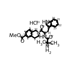 COC(=O)c1ccc2c(c1)CCN(C(=O)[C@@H](Cc1c[nH]c3ccccc13)NC(=O)C(C)(C)N)C2.Cl